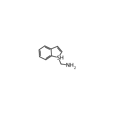 NC[SH]1C=Cc2ccccc21